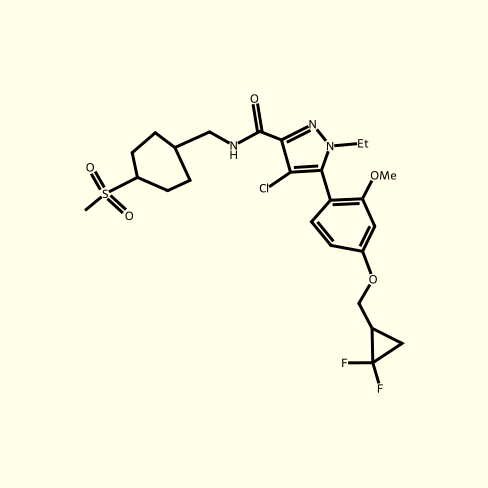 CCn1nc(C(=O)NCC2CCC(S(C)(=O)=O)CC2)c(Cl)c1-c1ccc(OCC2CC2(F)F)cc1OC